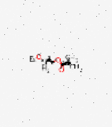 C=C(C)C(=O)OCC[SiH2]OCC